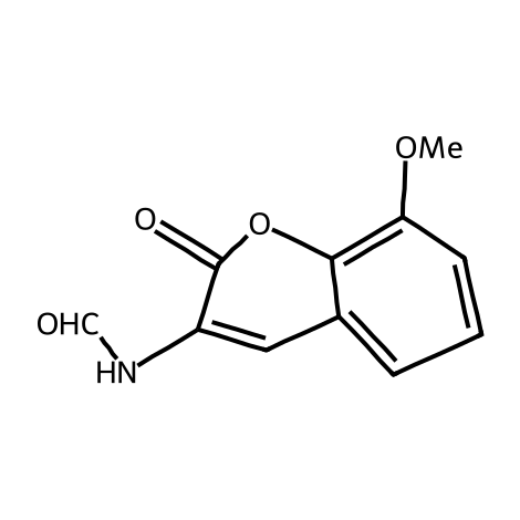 COc1cccc2cc(NC=O)c(=O)oc12